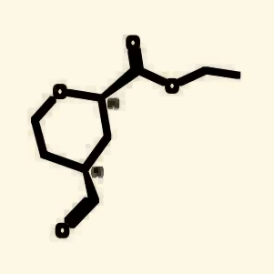 CCOC(=O)[C@H]1C[C@@H](C=O)CCO1